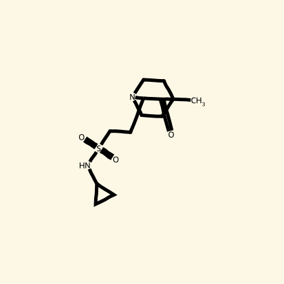 CC12CCN(CC1)C(CCS(=O)(=O)NC1CC1)C2=O